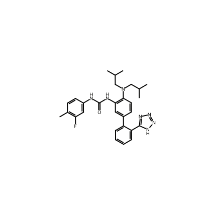 Cc1ccc(NC(=O)Nc2cc(-c3ccccc3-c3nnn[nH]3)ccc2N(CC(C)C)CC(C)C)cc1F